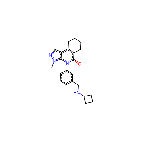 Cn1ncc2c3c(c(=O)n(-c4cccc(CNC5CCC5)c4)c21)CCCC3